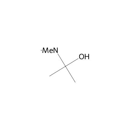 C[N]C(C)(C)O